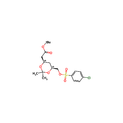 CC(C)(C)OC(=O)C[C@H]1C[C@@H](COS(=O)(=O)c2ccc(Cl)cc2)OC(C)(C)O1